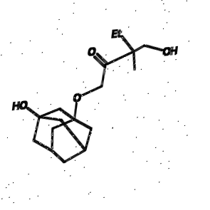 CCC(C)(CO)C(=O)COC12CC3CC(CC(O)(C3)C1)C2